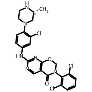 C[C@@H]1CN(c2ccc(Nc3ncc4c(n3)OCN(c3c(Cl)cccc3Cl)C4=O)cc2Cl)CCN1